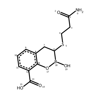 NC(=O)CCSC1Cc2cccc(C(=O)O)c2OB1O